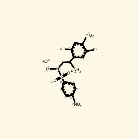 CCN(CC(N)c1cc(F)c(OC)cc1F)S(=O)(=O)c1ccc([N+](=O)[O-])cc1.Cl